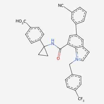 N#Cc1cccc(-c2cc(C(=O)NC3(c4ccc(C(=O)O)cc4)CC3)c3c(ccn3Cc3ccc(C(F)(F)F)cc3)c2)c1